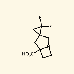 O=C(O)C12CCN1C[C@@]1(C2)CC1(F)F